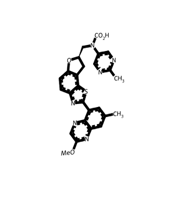 COc1cnc2c(-c3nc4ccc5c(c4s3)C[C@H](CN(C(=O)O)c3cnc(C)nc3)O5)cc(C)cc2n1